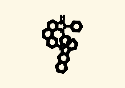 c1ccc(C2Nc3ccc4ccc5ccc(-n6c7ccccc7c7cc8ccccc8cc76)cc5c4c3N2c2ccccc2)cc1